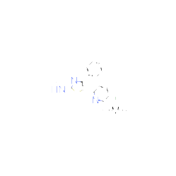 COc1ncc(-c2ccccc2-c2csc(NC3CC3)n2)cc1Cl